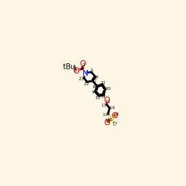 CC(C)(C)OC(=O)N1CC=C(c2ccc(OCCCS(C)(=O)=O)cc2)CC1